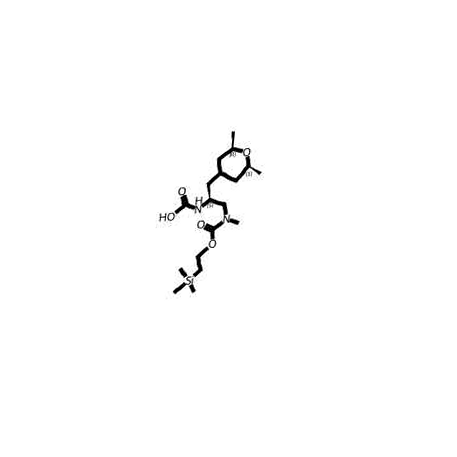 C[C@@H]1CC(C[C@@H](CN(C)C(=O)OCC[Si](C)(C)C)NC(=O)O)C[C@H](C)O1